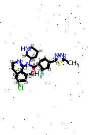 Cc1nnc(-c2ccc(C(=O)N(c3nccc4cc(Cl)cc(C)c34)[C@@H]3CCCNC3)c(F)c2)s1